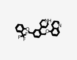 FC(F)(F)c1ccccc1OCc1ccc(COc2cccc3ncccc23)c(C2=CCNCC2)c1